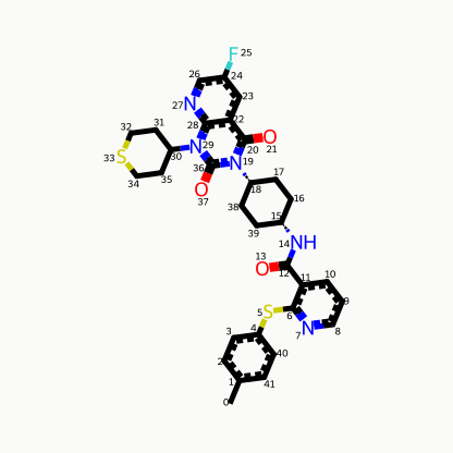 Cc1ccc(Sc2ncccc2C(=O)N[C@H]2CC[C@@H](n3c(=O)c4cc(F)cnc4n(C4CCSCC4)c3=O)CC2)cc1